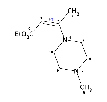 CCOC(=O)/C=C(/C)N1CCN(C)CC1